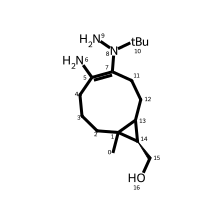 CC12CCC/C(N)=C(/N(N)C(C)(C)C)CCC1[C@H]2CO